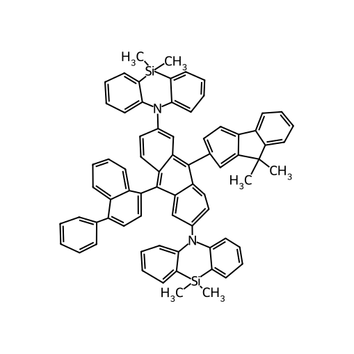 CC1(C)c2ccccc2-c2ccc(-c3c4cc(N5c6ccccc6[Si](C)(C)c6ccccc65)ccc4c(-c4ccc(-c5ccccc5)c5ccccc45)c4cc(N5c6ccccc6[Si](C)(C)c6ccccc65)ccc34)cc21